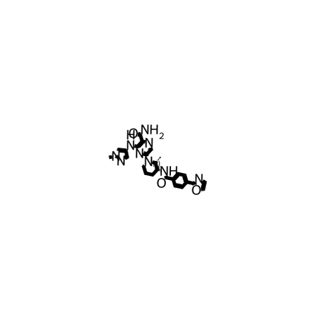 C[C@@H]1[C@H](NC(=O)c2ccc(-c3ncco3)cc2)CCCN1c1cnc(C(N)=O)c(Nc2cnn(C)c2)n1